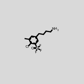 Cc1cc(CCCCN)cc(S(=O)(F)(F)F)c1Cl